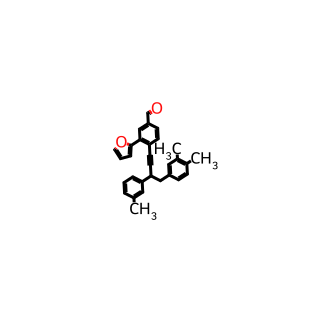 Cc1cccc(C(C#Cc2ccc(C=O)cc2-c2ccco2)Cc2ccc(C)c(C)c2)c1